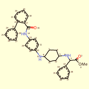 COC(=O)C(NC1CCC(Nc2ccc(NC(=O)c3ccccc3-c3ccccc3)cc2)CC1)c1ccccc1